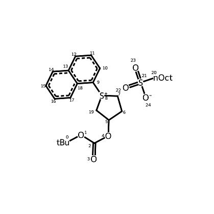 CC(C)(C)OC(=O)OC1CC[S+](c2cccc3ccccc23)C1.CCCCCCCCS(=O)(=O)[O-]